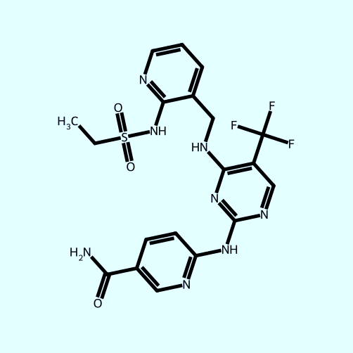 CCS(=O)(=O)Nc1ncccc1CNc1nc(Nc2ccc(C(N)=O)cn2)ncc1C(F)(F)F